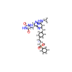 O=C1NC(=O)/C(=C/c2cnn3c(NC4CC4)cc(Cc4ccc(/C=C/CS(=O)(=O)c5ccccc5)cc4)nc23)N1